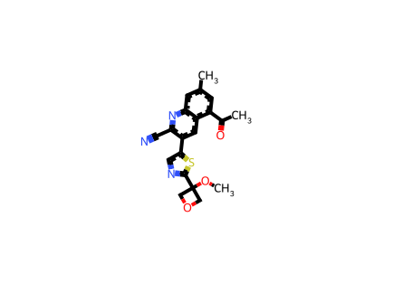 COC1(c2ncc(-c3cc4c(C(C)=O)cc(C)cc4nc3C#N)s2)COC1